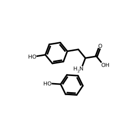 NC(Cc1ccc(O)cc1)C(=O)O.Oc1ccccc1